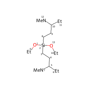 CCO[Si](CCC(CC)NC)(CCC(CC)NC)OCC